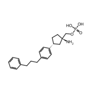 N[C@]1(COP(=O)(O)O)CC[C@@H](c2ccc(CCCc3ccccc3)cc2)C1